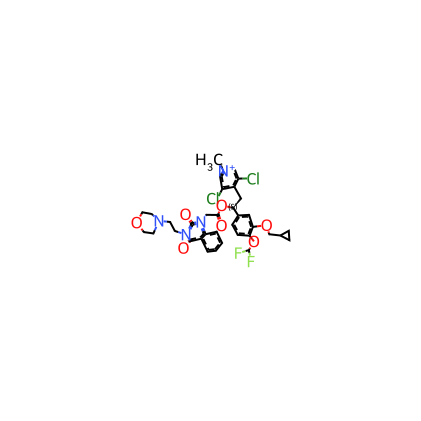 C[n+]1cc(Cl)c(C[C@H](OC(=O)Cn2c(=O)n(CCN3CCOCC3)c(=O)c3ccccc32)c2ccc(OC(F)F)c(OCC3CC3)c2)c(Cl)c1